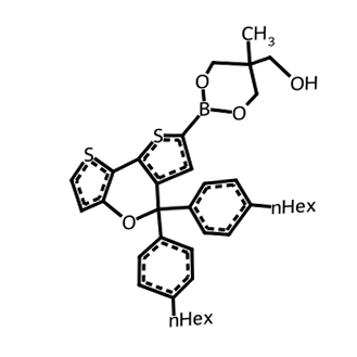 CCCCCCc1ccc(C2(c3ccc(CCCCCC)cc3)Oc3ccsc3-c3sc(B4OCC(C)(CO)CO4)cc32)cc1